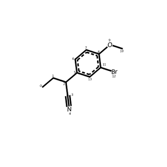 CCC(C#N)c1ccc(OC)c(Br)c1